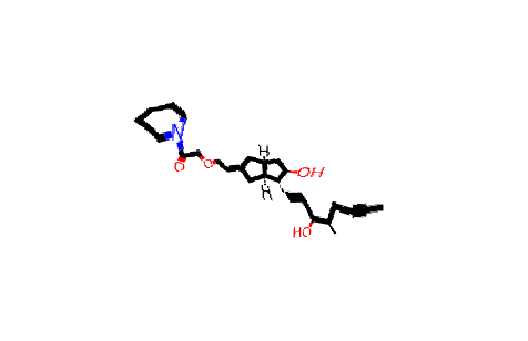 CC#CC[C@@H](C)[C@@H](O)/C=C/[C@@H]1[C@H]2CC(=CCOCC(=O)N3CCCCC3)C[C@H]2C[C@H]1O